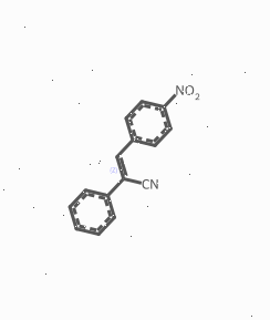 N#C/C(=C\c1ccc([N+](=O)[O-])cc1)c1ccccc1